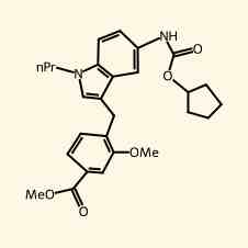 CCCn1cc(Cc2ccc(C(=O)OC)cc2OC)c2cc(NC(=O)OC3CCCC3)ccc21